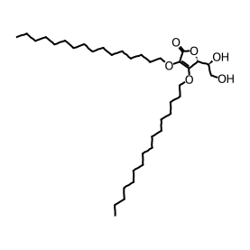 CCCCCCCCCCCCCCCCOC1=C(OCCCCCCCCCCCCCCCC)[C@@H]([C@@H](O)CO)OC1=O